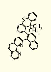 CC1(C)c2ccccc2Sc2cccc(-c3ccc4ccccc4c3-c3ccc4ccc5cccnc5c4n3)c21